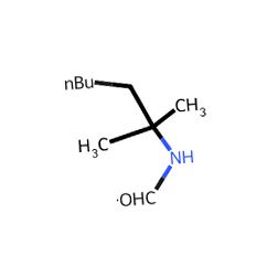 CCCCCC(C)(C)N[C]=O